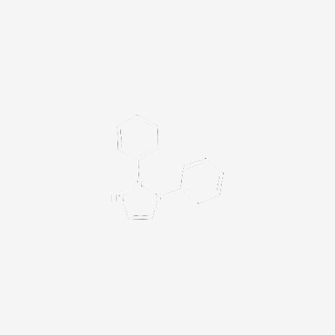 [C]1=[C]N(c2ccccc2)N(c2ccccc2)N1